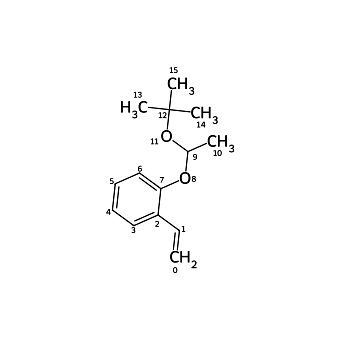 C=Cc1ccccc1OC(C)OC(C)(C)C